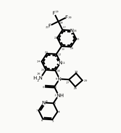 C=C(NC1CC=CC=N1)N(c1nc(-c2ccnc(C(F)(F)F)c2)ccc1N)C1CCC1